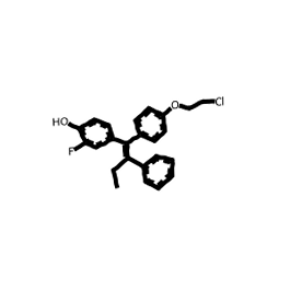 CCC(=C(c1ccc(OCCCl)cc1)c1ccc(O)c(F)c1)c1ccccc1